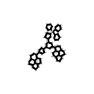 c1ccc([Si](c2ccccc2)(c2ccccc2)c2cccc(-c3cc(-c4ccc(-c5ccc6ccc7cccc8ccc5c6c78)cc4)cc(-c4ccc5ccc6cccc7ccc4c5c67)c3)c2)cc1